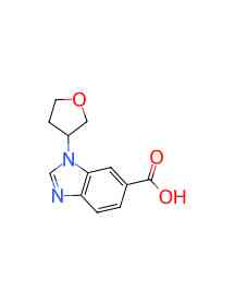 O=C(O)c1ccc2ncn(C3CCOC3)c2c1